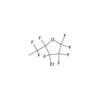 CCC1(F)C(F)(F)C(F)(F)OC1(F)C(C)(F)F